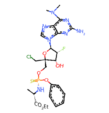 CCOC(=O)[C@H](C)N[P@](=S)(OC[C@@]1(CCl)O[C@@H](n2cnc3c(N(C)C)nc(N)nc32)[C@H](F)[C@@H]1O)Oc1ccccc1